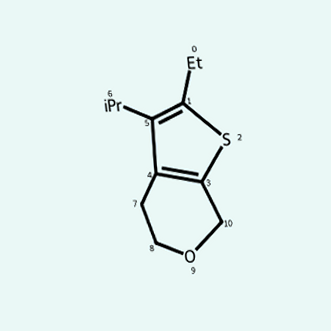 CCc1sc2c(c1C(C)C)CCOC2